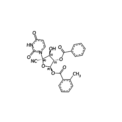 Cc1ccccc1C(=O)O[C@H]1O[C@@](C#N)(n2ccc(=O)[nH]c2=O)[C@@H](O)[C@@H]1OC(=O)c1ccccc1